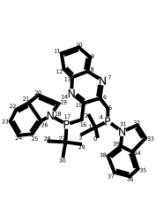 CC(C)(C)P(Cc1nc2ccccc2nc1CP(n1ccc2ccccc21)C(C)(C)C)n1ccc2ccccc21